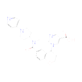 CN(C(=O)c1ccc2c(c1)C(N1C=C(C(=O)O)C=NC1)CCO2)C1CCN(c2ccncc2)CC1